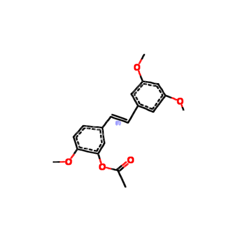 COc1cc(/C=C/c2ccc(OC)c(OC(C)=O)c2)cc(OC)c1